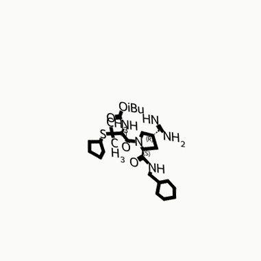 CC(C)COC(=O)N[C@@H](C(=O)N1C[C@H](C(=N)N)C[C@H]1C(=O)NCC1CCCCC1)C(C)(C)SC1CCCC1